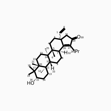 C=C[C@@]12CC[C@]3(C)[C@H](CC[C@@H]4[C@@]5(C)CC[C@H](O)C(C)(C)[C@]5(C)CC[C@]43C)C1=C(C(C)C)C(=O)C2